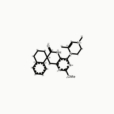 COc1nc2c(c(N3CCN(C)C=C3C)n1)NC(=O)C1(CCCc3ccccc31)C2